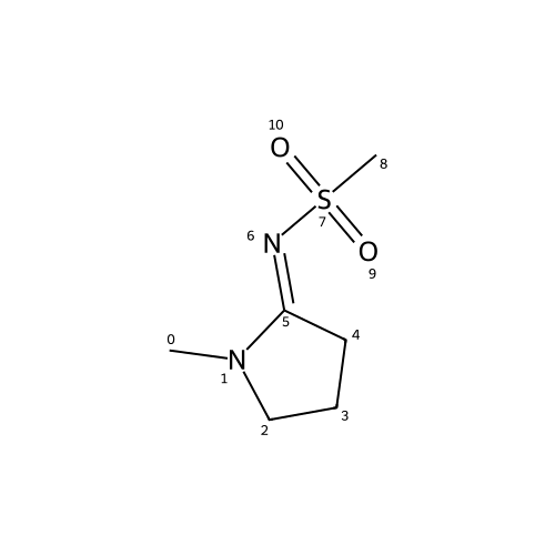 CN1CCCC1=NS(C)(=O)=O